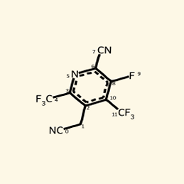 N#CCc1c(C(F)(F)F)nc(C#N)c(F)c1C(F)(F)F